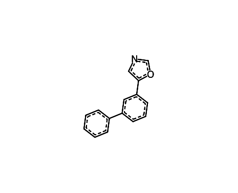 c1ccc(-c2cccc(-c3cnco3)c2)cc1